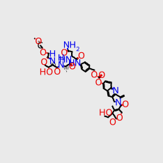 C=C1c2nc3ccc(OC(=O)OCc4ccc(NC(=O)C(CC(N)=O)NC(=O)[C@H](C)NC(=O)[C@@H](NC(=O)COCCOC)C(C)O)cc4)cc3cc2CN1C(=O)C1=C(C)C(O)(CC)C(=O)OC1